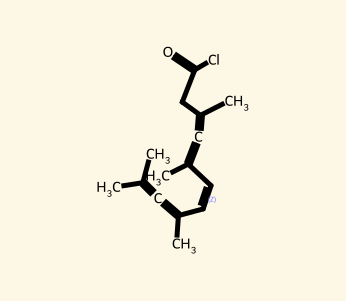 CC(C)=C=C(C)/C=C\C(C)=C=C(C)CC(=O)Cl